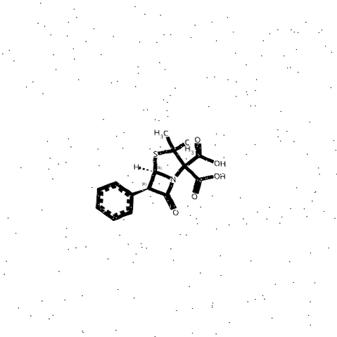 CC1(C)S[C@@H]2[C@H](c3ccccc3)C(=O)N2C1(C(=O)O)C(=O)O